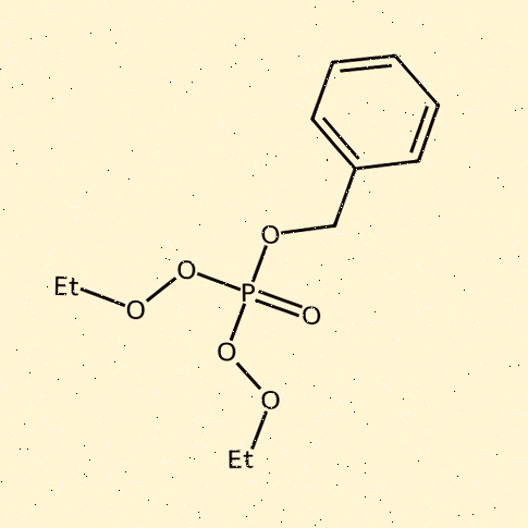 CCOOP(=O)(OCc1ccccc1)OOCC